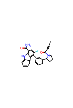 CC#CC(=O)N1CCCC1c1cccc(-c2c(F)cc(C(N)=O)c3[nH]c4ccccc4c23)c1